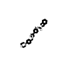 O=C(Nc1ccc(-c2cn(Cc3ccc(N4CCOCC4)cc3)nn2)cc1)N1Cc2ccccc2C1